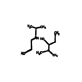 CC(C)NCCO.CCC(O)N(C)C